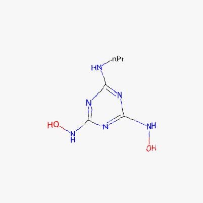 CCCNc1nc(NO)nc(NO)n1